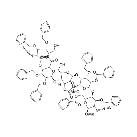 COC(=O)C1O[C@@H](O[C@@H]2C(CO)O[C@@H](O[C@H]3C(C(=O)OC)O[C@@H](O[C@@H]4C(COC(=O)c5ccccc5)O[C@H](OC)C(N=[N+]=[N-])[C@@H]4OCc4ccccc4)C(OC(=O)c4ccccc4)[C@H]3OCc3ccccc3)C3NC(=O)O[C@H]32)C(OCc2ccccc2)[C@H](OCc2ccccc2)[C@@H]1O[C@H]1OC(CO)[C@@H](OCc2ccccc2)[C@@H](OCc2ccccc2)C1N=[N+]=[N-]